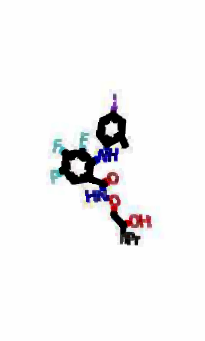 CCCC(O)CONC(=O)c1cc(F)c(F)c(F)c1Nc1ccc(I)cc1C